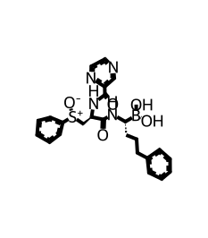 O=C(N[C@H](C[S+]([O-])c1ccccc1)C(=O)N[C@@H](CCCc1ccccc1)B(O)O)c1cnccn1